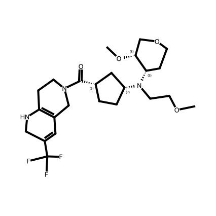 COCCN([C@@H]1CC[C@H](C(=O)N2CCC3=C(C=C(C(F)(F)F)CN3)C2)C1)[C@H]1CCOC[C@H]1OC